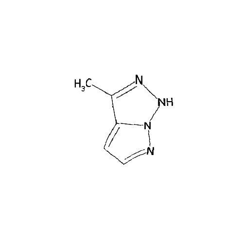 Cc1n[nH]n2nccc12